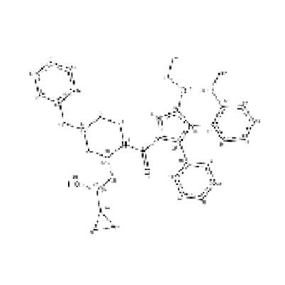 CCOc1nc(C(=O)N2CCN(Cc3ccccc3)C[C@H]2C[C@@H](O)C2CC2)c(-c2ccccc2)n1-c1ccccc1OC